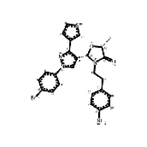 C[C@H]1O[C@@H](c2cn(-c3ccc(Br)cc3)nc2-c2ccsc2)N(CCc2ccc(N)cc2)C1=O